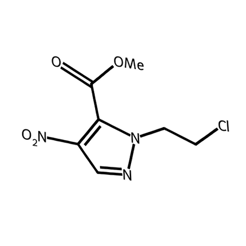 COC(=O)c1c([N+](=O)[O-])cnn1CCCl